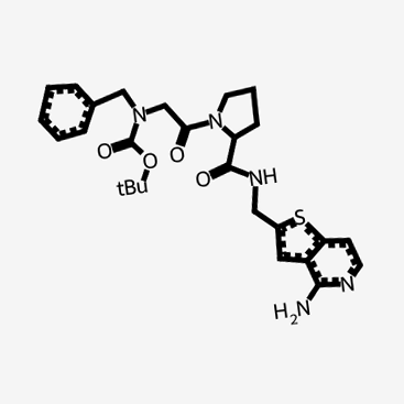 CC(C)(C)OC(=O)N(CC(=O)N1CCCC1C(=O)NCc1cc2c(N)nccc2s1)Cc1ccccc1